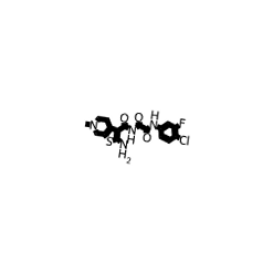 CN1CCc2c(sc(N)c2C(=O)NC(=O)C(=O)Nc2ccc(Cl)c(F)c2)C1